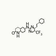 O=C1CCc2cc(Nc3ncc(C(F)(F)F)c(C=Cc4ccccc4)n3)ccc2N1